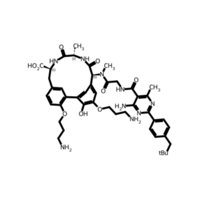 Cc1nc(-c2ccc(CC(C)(C)C)cc2)nc(N)c1C(=O)NCC(=O)N(C)[C@@H]1C(=O)N[C@@H](C)C(=O)N[C@H](C(=O)O)Cc2ccc(OCCCN)c(c2)-c2cc1cc(OCCCN)c2O